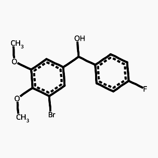 COc1cc(C(O)c2ccc(F)cc2)cc(Br)c1OC